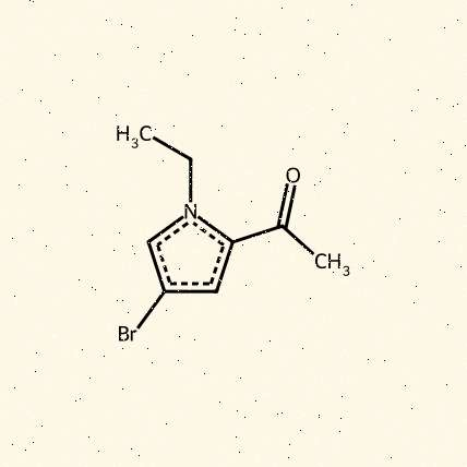 CCn1cc(Br)cc1C(C)=O